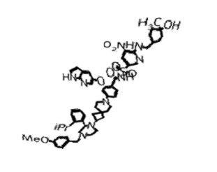 COc1ccc(CN2CCN(C3CC4(CCN(c5ccc(C(=O)NS(=O)(=O)c6cnc(NCC7CCC(C)(O)CC7)c([N+](=O)[O-])c6)c(Oc6cnc7[nH]ccc7c6)c5)CC4)C3)[C@H](c3ccccc3C(C)C)C2)cc1